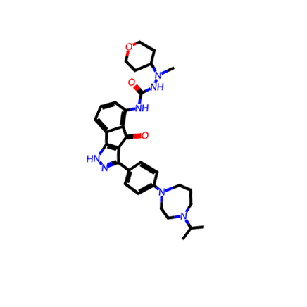 CC(C)N1CCCN(c2ccc(-c3n[nH]c4c3C(=O)c3c(NC(=O)NN(C)C5CCOCC5)cccc3-4)cc2)CC1